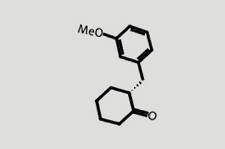 COc1cccc(C[C@H]2CCCCC2=O)c1